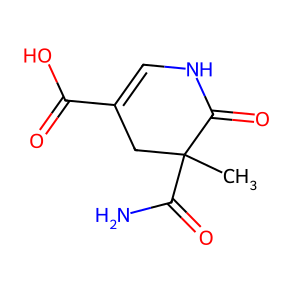 CC1(C(N)=O)CC(C(=O)O)=CNC1=O